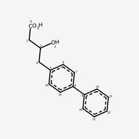 O=C(O)CC(O)Cc1ccc(-c2ccccc2)cc1